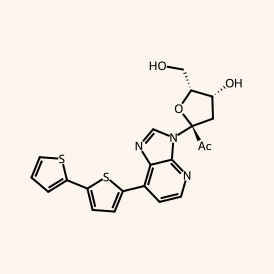 CC(=O)[C@]1(n2cnc3c(-c4ccc(-c5cccs5)s4)ccnc32)C[C@@H](O)[C@@H](CO)O1